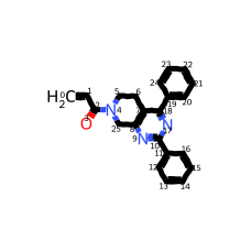 C=CC(=O)N1CCc2c(nc(-c3ccccc3)nc2-c2ccccc2)C1